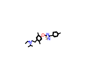 CCN(CCc1cc(C)c(Oc2nc(-c3ccc(C)cc3)ns2)cc1C)C(C)C